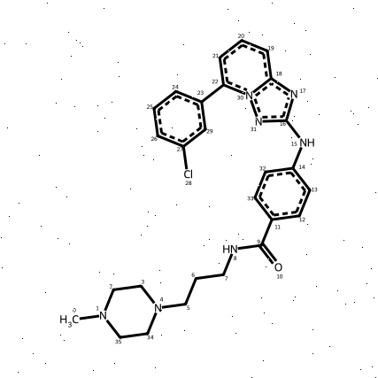 CN1CCN(CCCNC(=O)c2ccc(Nc3nc4cccc(-c5cccc(Cl)c5)n4n3)cc2)CC1